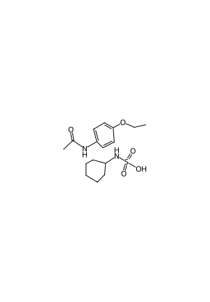 CCOc1ccc(NC(C)=O)cc1.O=S(=O)(O)NC1CCCCC1